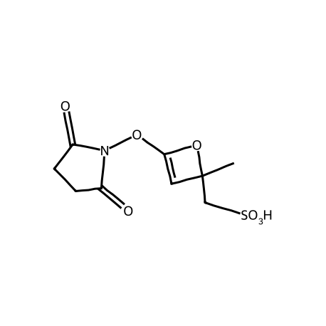 CC1(CS(=O)(=O)O)C=C(ON2C(=O)CCC2=O)O1